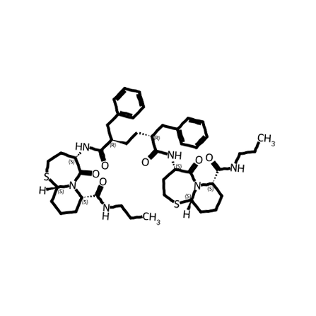 CCCNC(=O)[C@@H]1CCC[C@@H]2SCC[C@H](NC(=O)[C@H](CC[C@H](Cc3ccccc3)C(=O)N[C@H]3CCS[C@H]4CCC[C@@H](C(=O)NCCC)N4C3=O)Cc3ccccc3)C(=O)N21